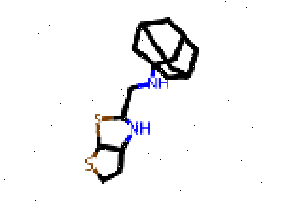 C1CC2NC(CNC34CC5CC(CC(C5)C3)C4)SC2S1